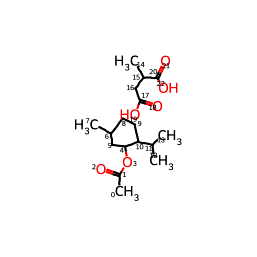 CC(=O)OC1CC(C)CCC1C(C)C.CC(CC(=O)O)C(=O)O